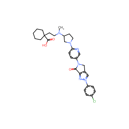 CN(CCC1(C(=O)O)CCCCC1)C1CCN(c2ccc(N3Cc4cn(-c5ccc(Cl)cc5)nc4C3=O)cn2)C1